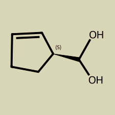 OC(O)[C@@H]1C=CCC1